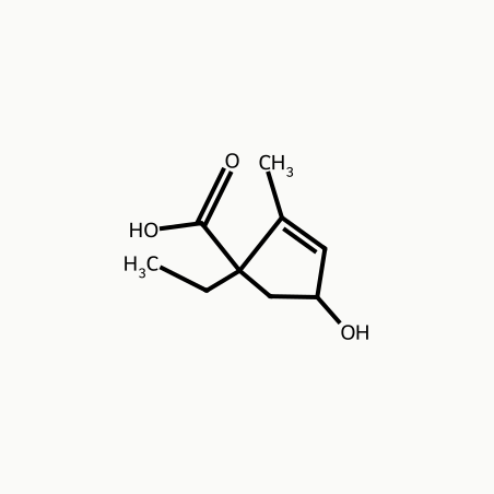 CCC1(C(=O)O)CC(O)C=C1C